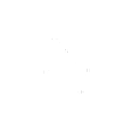 C=C/N=C(S)\C(C)=C/C